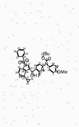 COc1ccc(N(C(=O)OC(C)(C)C)c2ccc(C(O)c3cn(S(=O)(=O)c4ccccc4)c4ccnc(C5CC5)c34)c(F)n2)cn1